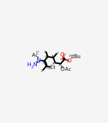 CC/C(C)=C(\C(C)C(C)C[C@@H](OC(C)=O)C(=O)OC(C)(C)C)N(N)C(C)=O